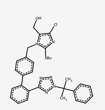 CCCCc1nc(Cl)c(CO)n1Cc1ccc(-c2ccccc2-c2nnn(C(C)(C)c3ccccc3)n2)cc1